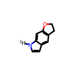 [2H]n1ccc2cc3c(cc21)OCC3